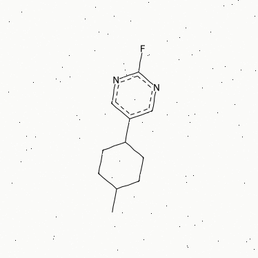 CC1CCC(c2cnc(F)nc2)CC1